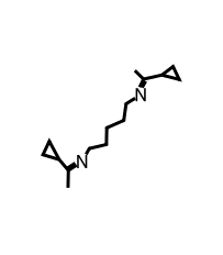 CC(=NCCCCCN=C(C)C1CC1)C1CC1